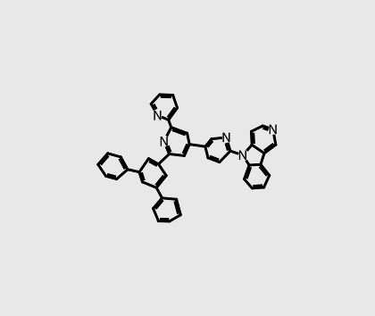 c1ccc(-c2cc(-c3ccccc3)cc(-c3cc(-c4ccc(-n5c6ccccc6c6cnccc65)nc4)cc(-c4ccccn4)n3)c2)cc1